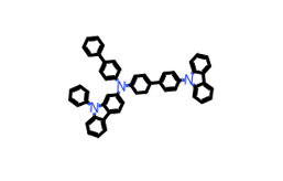 C1=C(c2ccc(-n3c4ccccc4c4ccccc43)cc2)CCC(N(c2ccc(-c3ccccc3)cc2)c2ccc3c4ccccc4n(-c4ccccc4)c3c2)=C1